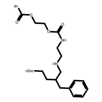 CCCCCCCCCCCCC(CNCCNC(=O)OCCOC(=O)C(C)C)Cc1ccccc1